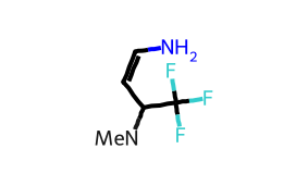 CNC(/C=C\N)C(F)(F)F